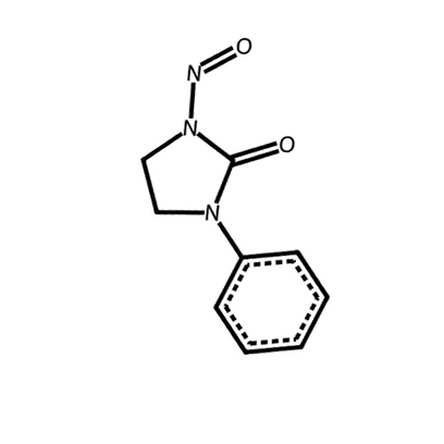 O=NN1CCN(c2ccccc2)C1=O